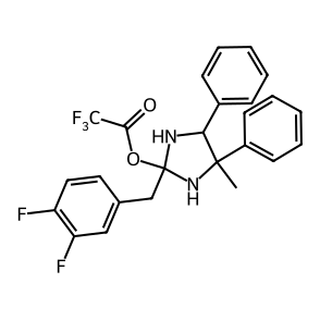 CC1(c2ccccc2)NC(Cc2ccc(F)c(F)c2)(OC(=O)C(F)(F)F)NC1c1ccccc1